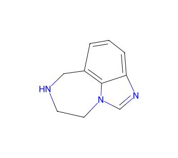 c1cc2c3c(c1)ncn3CCNC2